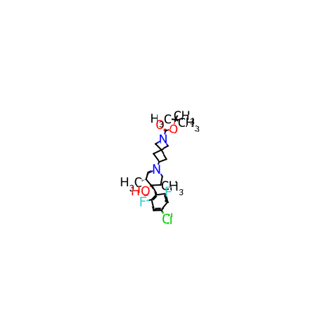 C[C@@H]1CN(C2CC3(C2)CN(C(=O)OC(C)(C)C)C3)C[C@H](C)C1(O)c1c(F)cc(Cl)cc1F